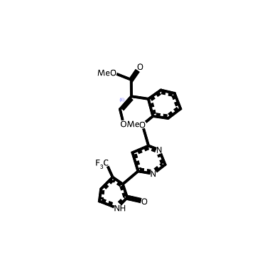 CO/C=C(/C(=O)OC)c1ccccc1Oc1cc(-c2c(C(F)(F)F)cc[nH]c2=O)ncn1